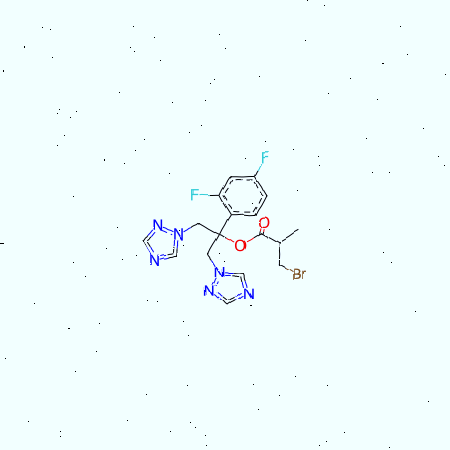 CC(CBr)C(=O)OC(Cn1cncn1)(Cn1cncn1)c1ccc(F)cc1F